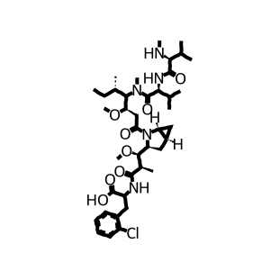 CC[C@H](C)C([C@@H](CC(=O)N1[C@H]2C[C@H]2C[C@H]1[C@H](OC)[C@@H](C)C(=O)NC(Cc1ccccc1Cl)C(=O)O)OC)N(C)C(=O)[C@@H](NC(=O)[C@@H](NC)C(C)C)C(C)C